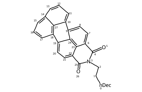 CCCCCCCCCCCCN1C(=O)c2ccc3c4cccc5cccc(c6ccc(c2c36)C1=O)c54